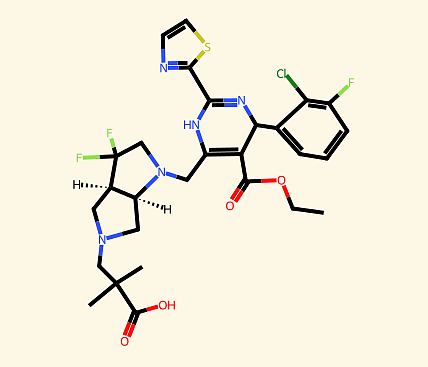 CCOC(=O)C1=C(CN2CC(F)(F)[C@@H]3CN(CC(C)(C)C(=O)O)C[C@@H]32)NC(c2nccs2)=NC1c1cccc(F)c1Cl